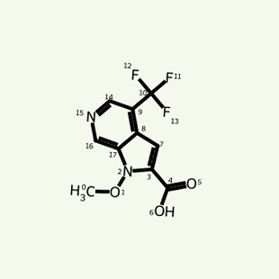 COn1c(C(=O)O)cc2c(C(F)(F)F)cncc21